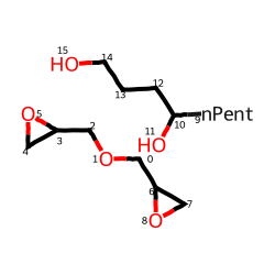 C(OCC1CO1)C1CO1.CCCCCC(O)CCCO